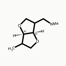 CNCC1CO[C@@H]2C(C)CO[C@H]12